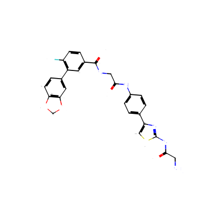 Cl.NCC(=O)Nc1nc(-c2ccc(NC(=O)CNC(=O)c3ccc(F)c(-c4ccc5c(c4)OCO5)c3)cc2)cs1